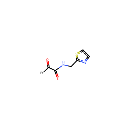 CCC(=O)C(=O)NCc1nccs1